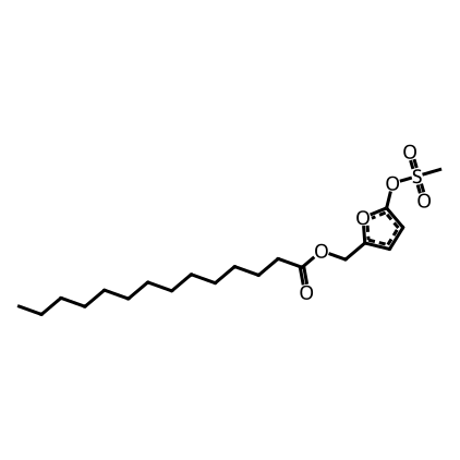 CCCCCCCCCCCCCC(=O)OCc1ccc(OS(C)(=O)=O)o1